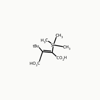 CC(C)(C)C(C(=O)O)=C(C(=O)O)[Si](C)(C)C